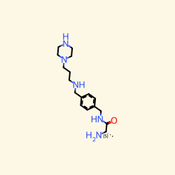 C[C@H](N)C(=O)NCc1ccc(CNCCCN2CCNCC2)cc1